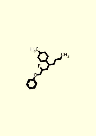 CCCCC(CC(F)COc1ccccc1)C1CCC(C)CC1